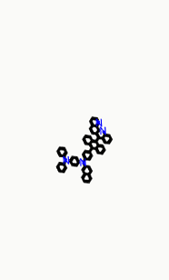 c1ccc(N(c2ccccc2)c2ccc(N(c3ccc(-c4c5ccccc5c(-c5c6ccccc6nc6c5ccc5cccnc56)c5ccccc45)cc3)c3ccc4ccccc4c3)cc2)cc1